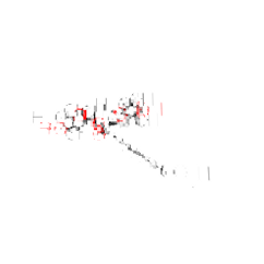 Cc1c(C)c2c(c(C)c1O)CCC(C)(CCOC(=O)C(CCCCCCCCCCCCCC(=O)O)CCC1(C)CCc3c(C)c(O)c(C)c(C)c3O1)O2